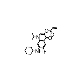 C=CC(=O)Oc1cn(C(C)C)c2cc(NC3CCCCC3)c(F)cc2c1=O